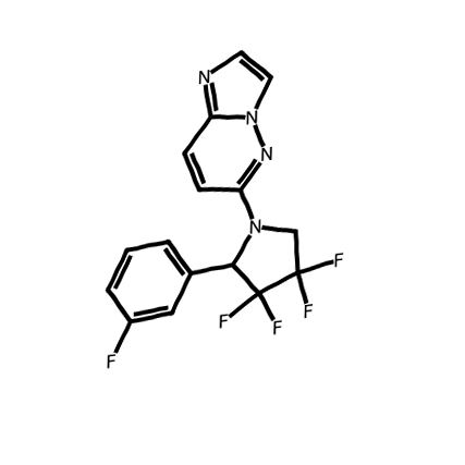 Fc1cccc(C2N(c3ccc4nccn4n3)CC(F)(F)C2(F)F)c1